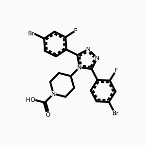 O=C(O)N1CCC(n2c(-c3ccc(Br)cc3F)nnc2-c2ccc(Br)cc2F)CC1